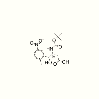 Cc1ccc([N+](=O)[O-])cc1C(O)[C@@H](CC(=O)O)NC(=O)OC(C)(C)C